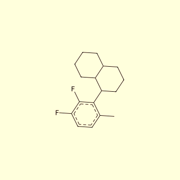 Cc1ccc(F)c(F)c1C1CCCC2CCCCC21